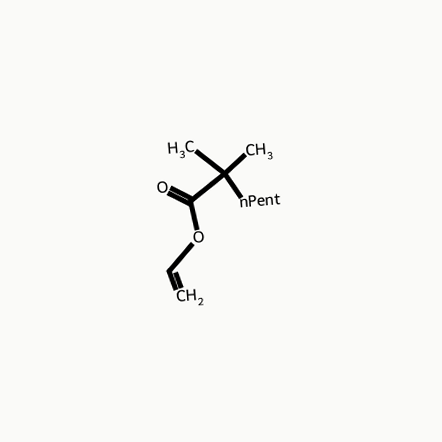 C=COC(=O)C(C)(C)CCCCC